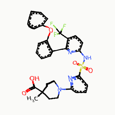 CC1(C(=O)O)CCN(c2cccc(S(=O)(=O)Nc3ccc(C(F)(F)F)c(-c4ccccc4Oc4ccccc4)n3)n2)CC1